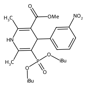 CCC(C)OP(=O)(OC(C)CC)C1=C(C)NC(C)=C(C(=O)OC)C1c1cccc([N+](=O)[O-])c1